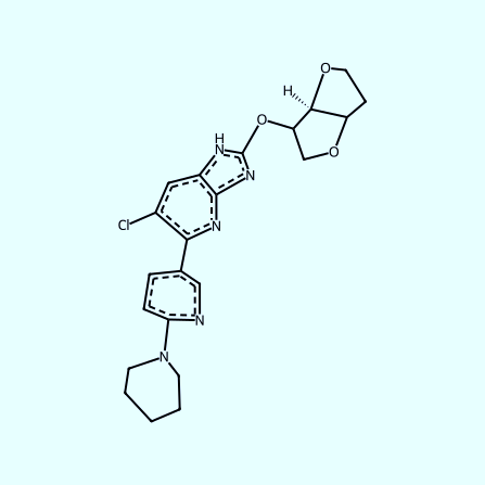 Clc1cc2[nH]c(OC3COC4CCO[C@@H]43)nc2nc1-c1ccc(N2CCCCC2)nc1